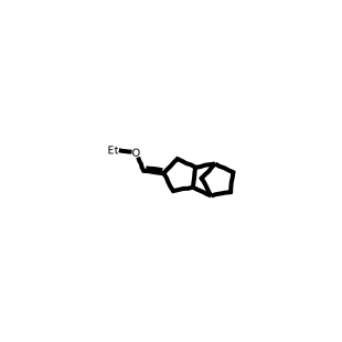 CCOC=C1CC2C3CCC(C3)C2C1